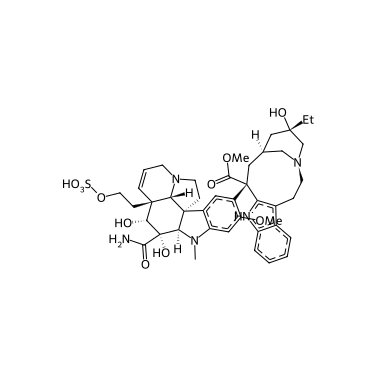 CC[C@]1(O)C[C@H]2C[N@](CCc3c([nH]c4ccccc34)[C@@](C(=O)OC)(c3cc4c(cc3OC)N(C)[C@H]3[C@@](O)(C(N)=O)[C@H](O)[C@]5(CCOS(=O)(=O)O)C=CCN6CC[C@]43[C@@H]65)C2)C1